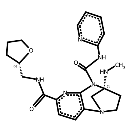 CN[C@]12CCN(C1)c1ccc(C(=O)NC[C@@H]3CCCO3)nc1N2C(=O)Nc1ccccn1